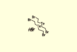 Br.Br.BrCC[Te]CCBr.BrCC[Te]CCBr